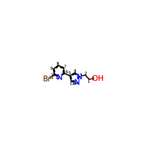 OCCn1cc(-c2cccc(Br)n2)cn1